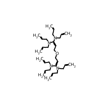 C=CCN(CC=C)C(=CCOCC=C(N(CC=C)CC=C)N(CC=C)CC=C)N(CC=C)CC=C